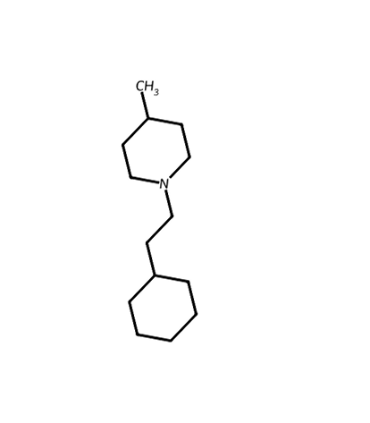 CC1CCN(CCC2CCCCC2)CC1